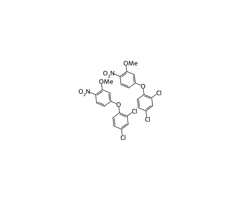 COc1cc(Oc2ccc(Cl)cc2Cl)ccc1[N+](=O)[O-].COc1cc(Oc2ccc(Cl)cc2Cl)ccc1[N+](=O)[O-]